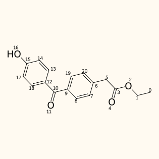 CCOC(=O)Cc1ccc(C(=O)c2ccc(O)cc2)cc1